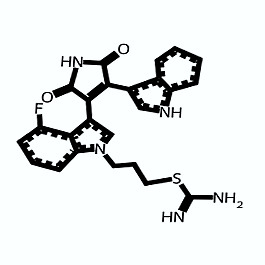 N=C(N)SCCCn1cc(C2=C(c3c[nH]c4ccccc34)C(=O)NC2=O)c2c(F)cccc21